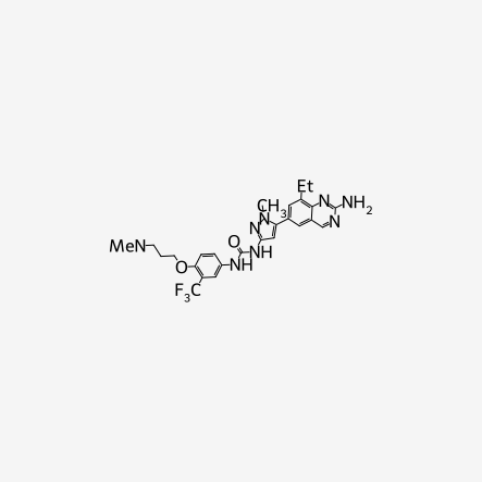 CCc1cc(-c2cc(NC(=O)Nc3ccc(OCCCNC)c(C(F)(F)F)c3)nn2C)cc2cnc(N)nc12